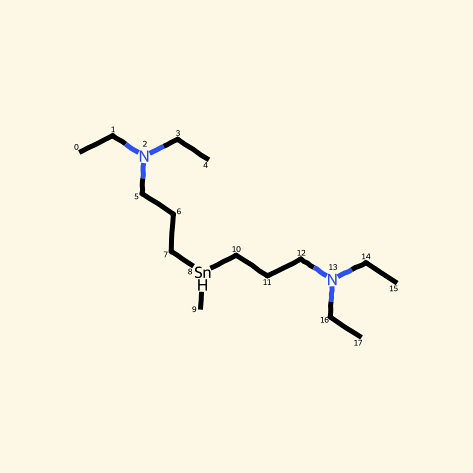 CCN(CC)CC[CH2][SnH]([CH3])[CH2]CCN(CC)CC